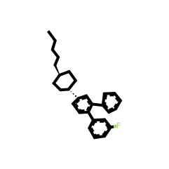 CCCCC[C@H]1CC[C@H](c2ccc(-c3cccc(F)c3)c(-c3ccccc3)c2)CC1